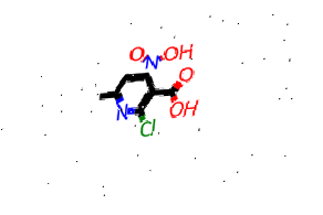 Cc1ccc(C(=O)O)c(Cl)n1.O=NO